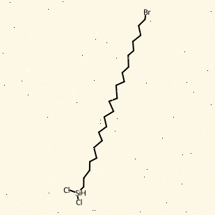 Cl[SiH](Cl)CCCCCCCCCCCCCCCCCCCCCCCBr